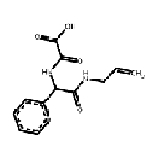 C=CCNC(=O)C(NC(=O)C(=O)O)c1ccccc1